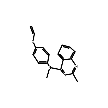 C=COc1ccc(N(C)c2nc(C)nc3ccccc23)cc1